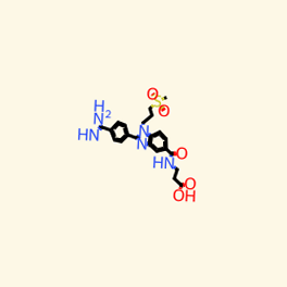 CS(=O)(=O)CCCn1c(-c2ccc(C(=N)N)cc2)nc2cc(C(=O)NCCC(=O)O)ccc21